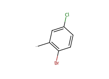 [CH2]c1cc(Cl)ccc1Br